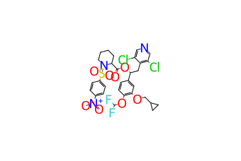 O=C(OC(Cc1c(Cl)cncc1Cl)c1ccc(OC(F)F)c(OCC2CC2)c1)C1CCCCN1S(=O)(=O)c1ccc([N+](=O)[O-])cc1